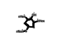 CCCCCCCCCSc1cc(CCCCCC)c(O)c(CCCCCC)c1